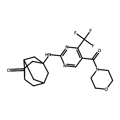 O=C1C2CCC3(Nc4ncc(C(=O)N5CCOCC5)c(C(F)(F)F)n4)CC(C2)CC1C3